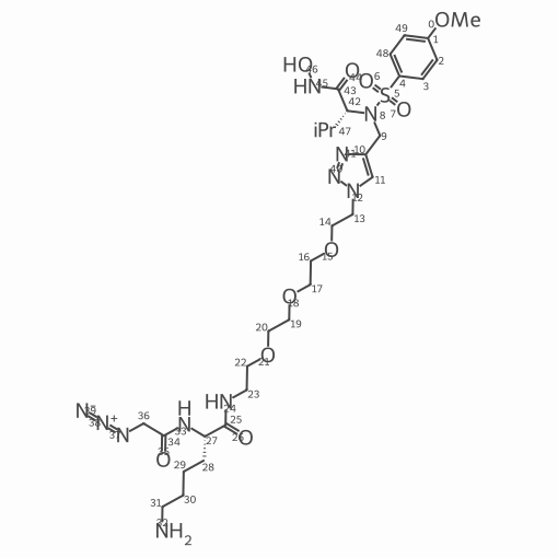 COc1ccc(S(=O)(=O)N(Cc2cn(CCOCCOCCOCCNC(=O)[C@H](CCCCN)NC(=O)CN=[N+]=[N-])nn2)[C@@H](C(=O)NO)C(C)C)cc1